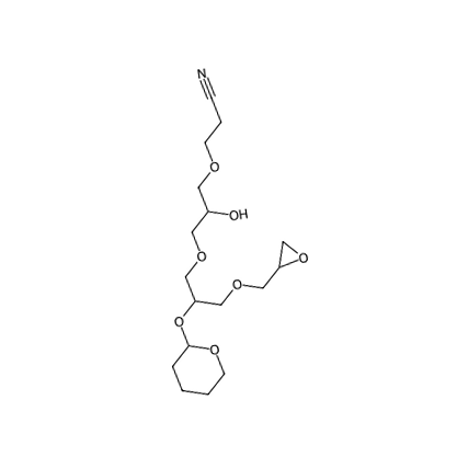 N#CCCOCC(O)COCC(COCC1CO1)OC1CCCCO1